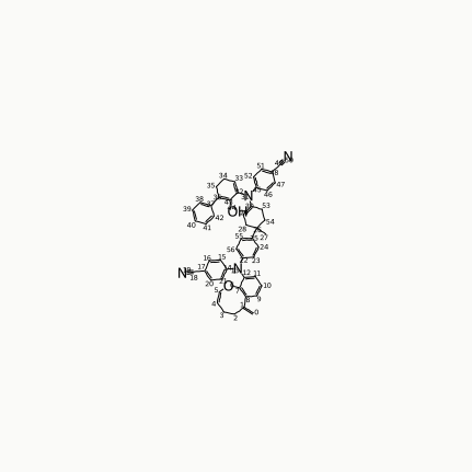 C=C1CC/C=C\Oc2c1cccc2N(c1ccc(C#N)cc1)c1ccc(C2(C)CC=C(N(C3=CCCC(c4ccccc4)=C3O)c3ccc(C#N)cc3)CC2)cc1